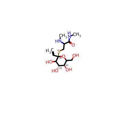 C=C[C@]1(SCC(NC)C(=O)NC)OC(CO)[C@@H](O)[C@H](O)C1O